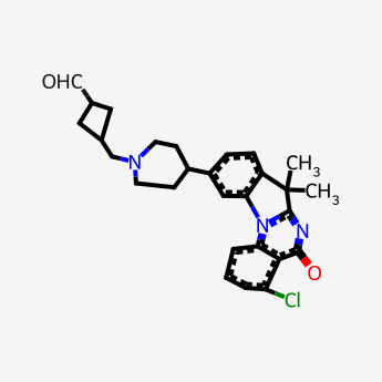 CC1(C)c2ccc(C3CCN(CC4CC(C=O)C4)CC3)cc2-n2c1nc(=O)c1c(Cl)cccc12